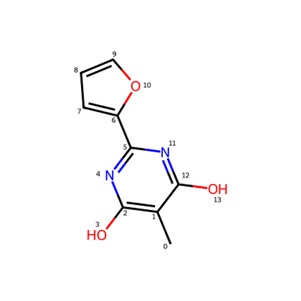 Cc1c(O)nc(-c2ccco2)nc1O